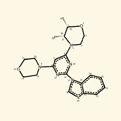 C[C@@H]1OCCN(c2cc(N3CCOCC3)nc(-n3cnc4ccccc43)n2)[C@@H]1C